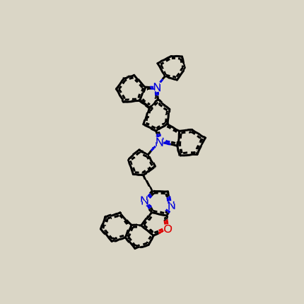 c1ccc(-n2c3ccccc3c3cc4c(cc32)c2ccccc2n4-c2cccc(-c3cnc4oc5ccc6ccccc6c5c4n3)c2)cc1